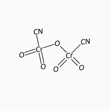 N#[C][Cr](=[O])(=[O])[O][Cr](=[O])(=[O])[C]#N